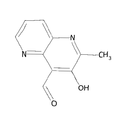 Cc1nc2cccnc2c(C=O)c1O